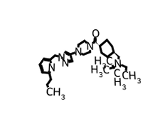 CCCc1cccc(Cn2cc(N3CCN(C(=O)[C@H]4CC[C@H](CN(CC)C(C)(C)C)CC4)CC3)cn2)n1